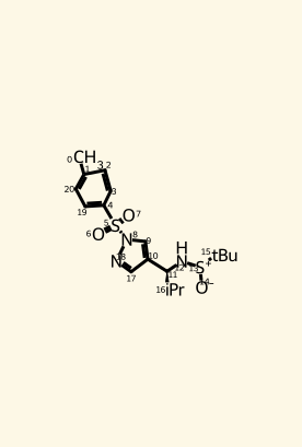 Cc1ccc(S(=O)(=O)n2cc([C@@H](N[S+]([O-])C(C)(C)C)C(C)C)cn2)cc1